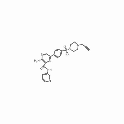 C#CCN1CCN(S(=O)(=O)c2ccc(-c3cnc(N)c(C(=O)Nc4cccnc4)n3)cc2)CC1